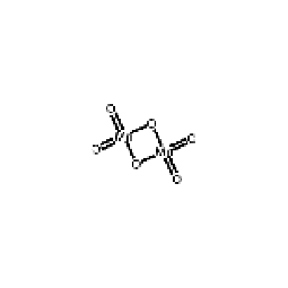 [O]=[Mn]1(=[O])[O][Mn](=[O])(=[O])[O]1